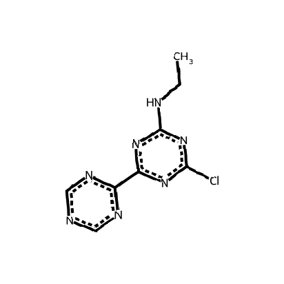 CCNc1nc(Cl)nc(-c2ncncn2)n1